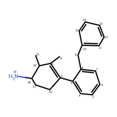 CC1=C(c2ccccc2Cc2ccccc2)CCC(N)C1C